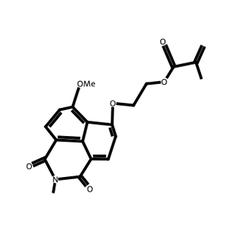 C=C(C)C(=O)OCCOc1ccc2c3c(ccc(OC)c13)C(=O)N(C)C2=O